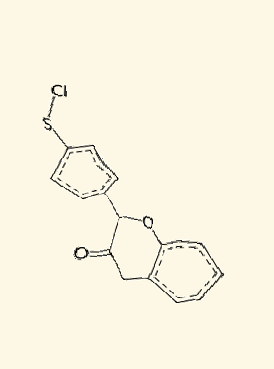 O=C1Cc2ccccc2OC1c1ccc(SCl)cc1